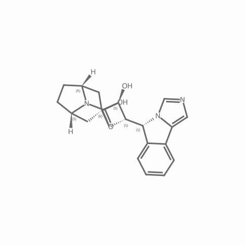 O=C(O)N1[C@@H]2CC[C@H]1C[C@]1(C[C@@H]([C@H]3c4ccccc4-c4cncn43)[C@@H]1O)C2